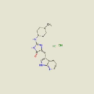 CC1CCC(NC2=NC(=Cc3c[nH]c4ncccc34)C(=O)N2)CC1.Cl.Cl